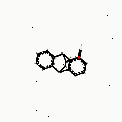 O=C(Cl)C1CC2c3ccccc3C1c1ccccc12